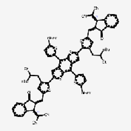 [C-]#[N+]/C(C#N)=C1\C(=Cc2cc(CC(CC)CCCC)c(-c3cc4c(-c5ccc(CCCCCC)s5)c5sc(-c6sc(C=C7C(=O)c8ccccc8/C7=C(/C#N)[N+]#[C-])cc6CC(CC)CCCC)cc5c(-c5ccc(CCCCCC)s5)c4s3)s2)C(=O)c2ccccc21